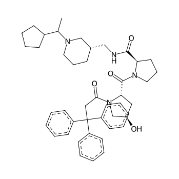 CC(C1CCCC1)N1CCC[C@@H](CNC(=O)[C@H]2CCCN2C(=O)[C@@H]2C[C@@H](O)CN2C(=O)CC(c2ccccc2)(c2ccccc2)c2ccccc2)C1